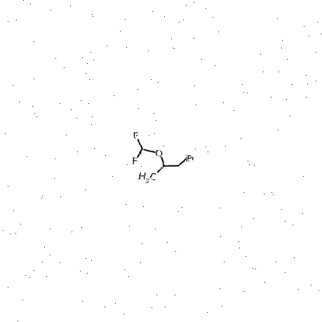 CC(C)CC(C)OC(F)F